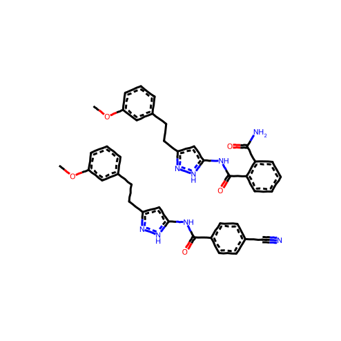 COc1cccc(CCc2cc(NC(=O)c3ccc(C#N)cc3)[nH]n2)c1.COc1cccc(CCc2cc(NC(=O)c3ccccc3C(N)=O)[nH]n2)c1